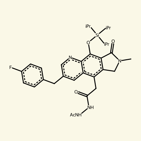 CC(=O)NNC(=O)Cc1c2c(c(O[Si](C(C)C)(C(C)C)C(C)C)c3ncc(Cc4ccc(F)cc4)cc13)C(=O)N(C)C2